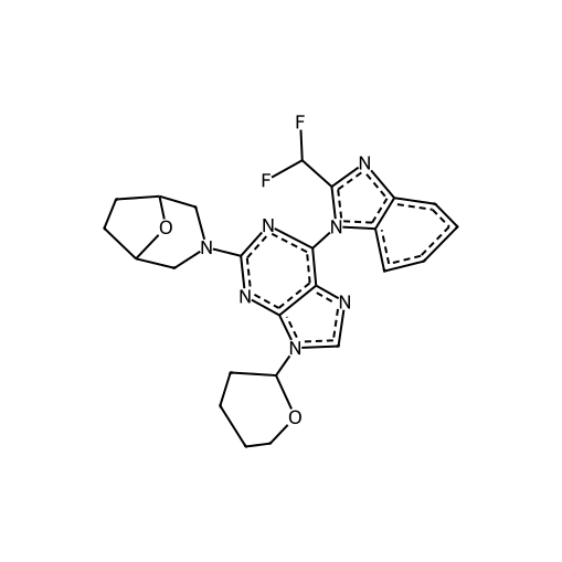 FC(F)c1nc2ccccc2n1-c1nc(N2CC3CCC(C2)O3)nc2c1ncn2C1CCCCO1